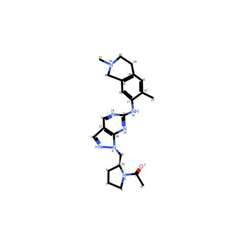 CC(=O)N1CCC[C@H]1Cn1ncc2cnc(Nc3cc4c(cc3C)CCN(C)C4)nc21